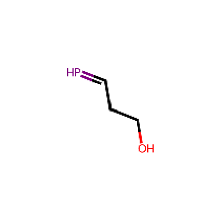 OCCC=P